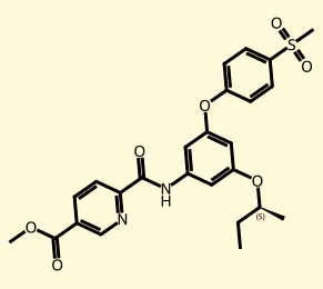 CC[C@H](C)Oc1cc(NC(=O)c2ccc(C(=O)OC)cn2)cc(Oc2ccc(S(C)(=O)=O)cc2)c1